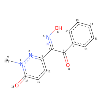 CC(C)n1nc(/C(=N/O)C(=O)c2ccccc2)ccc1=O